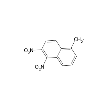 [CH2]c1cccc2c([N+](=O)[O-])c([N+](=O)[O-])ccc12